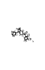 Cn1nc2c(c1-c1cncnc1)CCN(C(=O)c1cccc(C(F)(F)F)c1Cl)C2